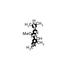 COc1nc(-c2cc3cn(C)nc3c(C)c2O)nc2ncc(N3C[C@@H](C)N[C@H](C)C3)cc12